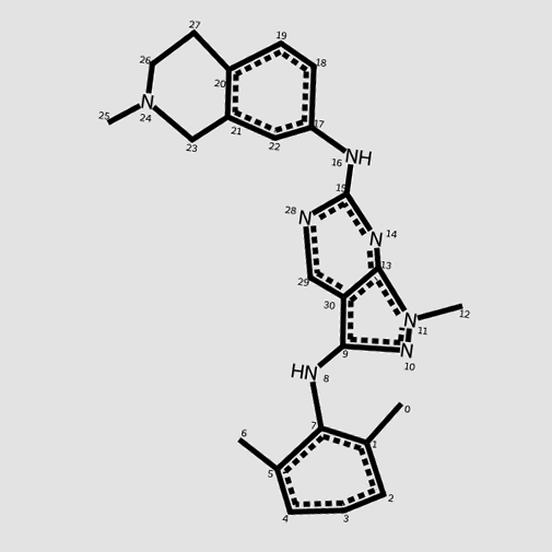 Cc1cccc(C)c1Nc1nn(C)c2nc(Nc3ccc4c(c3)CN(C)CC4)ncc12